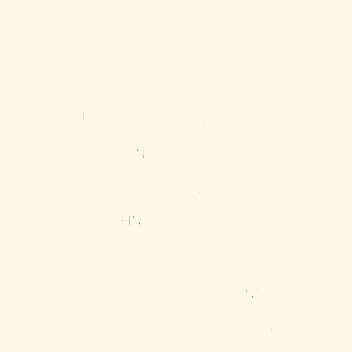 O=C(NC(=S)Nc1cccc([N+](=O)[O-])c1)c1ccccc1Cl